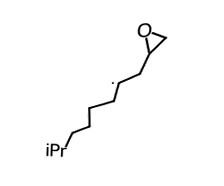 CC(C)CCCC[CH]CC1CO1